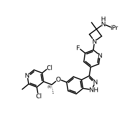 Cc1ncc(Cl)c([C@@H](C)Oc2ccc3[nH]nc(-c4cnc(N5CC(C)(NC(C)C)C5)c(F)c4)c3c2)c1Cl